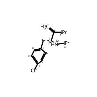 C=C(C(C)C)[C@@H](Cc1ccc(Cl)cc1)NC(C)C